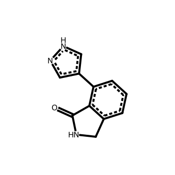 O=C1NCc2cccc(-c3cn[nH]c3)c21